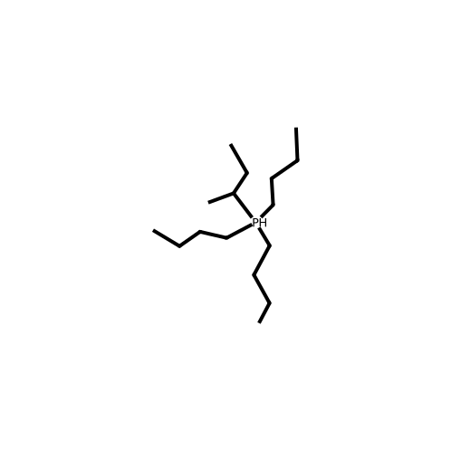 CCCC[PH](CCCC)(CCCC)C(C)CC